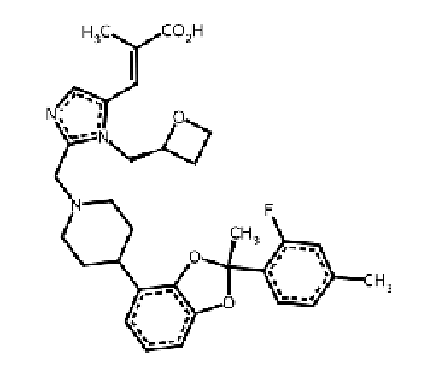 C/C(=C\c1cnc(CN2CCC(c3cccc4c3O[C@](C)(c3ccc(C)cc3F)O4)CC2)n1C[C@@H]1CCO1)C(=O)O